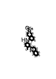 Cc1ccc(Nc2cccc3c2CCN([S+](C)[O-])C3)cc1-c1ccc2ccccc2n1